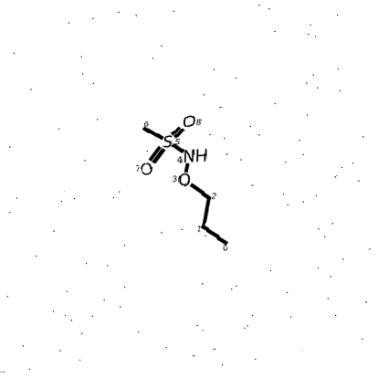 CCCONS(C)(=O)=O